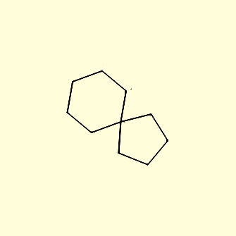 [CH]1CCCCC12CCCC2